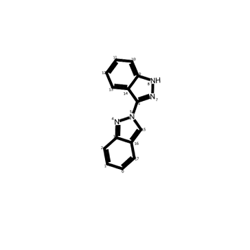 c1ccc2nn(-c3n[nH]c4ccccc34)cc2c1